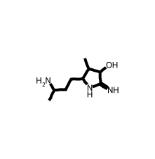 CC(N)CCC1NC(=N)C(O)C1C